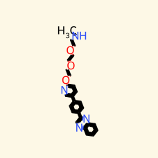 CNCCOCCOCCOc1ccc(-c2ccc(-c3cnc4ccccc4n3)cc2)cn1